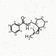 C=CC[C@]1(CNC(=O)c2ccccc2)CCCCC1=O